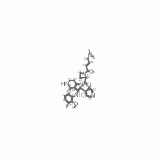 COc1c(F)cccc1Nc1c(-c2ccncc2OC[C@@]2(C)CCN2C(=O)/C=C/CN(C)C)[nH]c2c1C(=O)NCC2